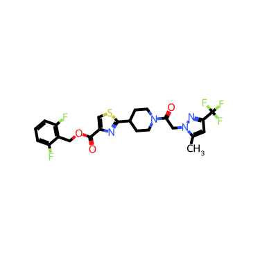 Cc1cc(C(F)(F)F)nn1CC(=O)N1CCC(c2nc(C(=O)OCc3c(F)cccc3F)cs2)CC1